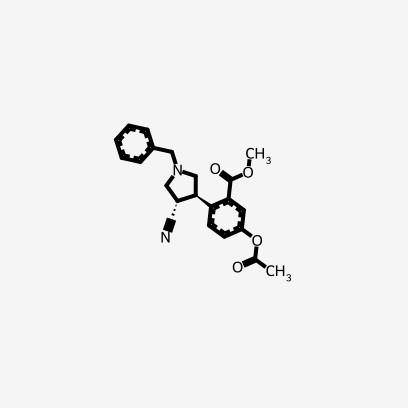 COC(=O)c1cc(OC(C)=O)ccc1[C@@H]1CN(Cc2ccccc2)C[C@H]1C#N